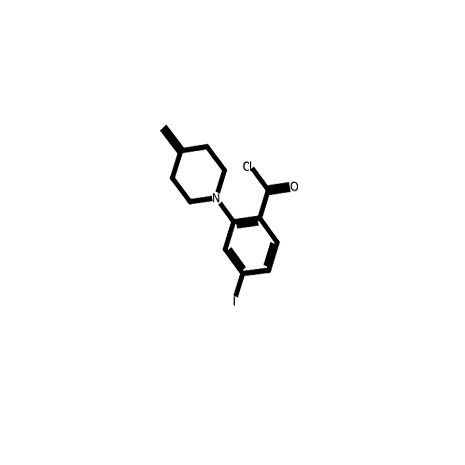 C=C1CCN(c2cc(I)ccc2C(=O)Cl)CC1